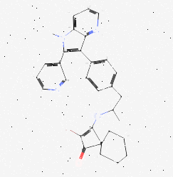 Cn1c(-c2cccnc2)c(-c2ccc(CC(NC3=C(Br)C(=O)C34CCCCC4)C(=O)O)cc2)c2ncccc21